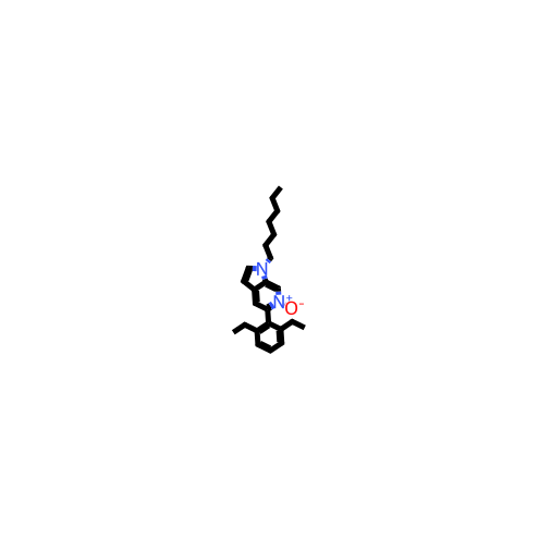 CCCCCCCn1ccc2cc(-c3c(CC)cccc3CC)[n+]([O-])cc21